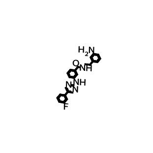 Nc1cccc(CCNC(=O)c2cccc(Nc3ncc(-c4cccc(F)c4)cn3)c2)c1